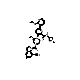 CCOc1ncccc1-c1ccc(N2CCN(C(=O)N3CCc4cc(F)cc(C#N)c43)C[C@H]2CC)c(C(=O)NC2CN(C)C2)n1